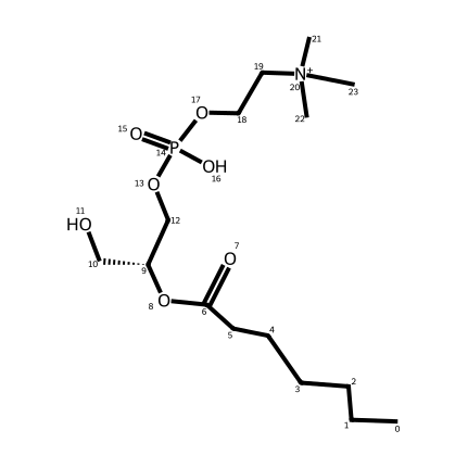 CCCCCCC(=O)O[C@H](CO)COP(=O)(O)OCC[N+](C)(C)C